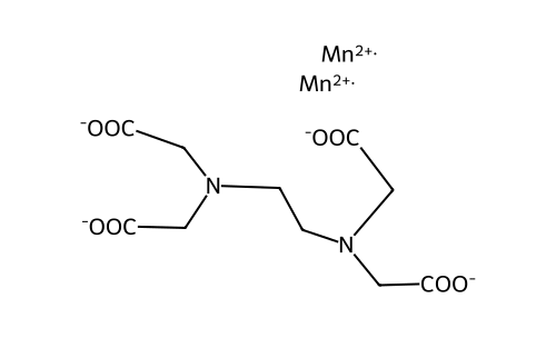 O=C([O-])CN(CCN(CC(=O)[O-])CC(=O)[O-])CC(=O)[O-].[Mn+2].[Mn+2]